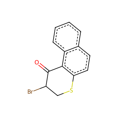 O=C1c2c(ccc3ccccc23)SCC1Br